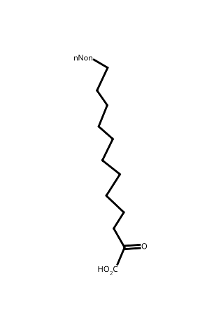 CCCCCCCCCCCCCCCCCCCC(=O)C(=O)O